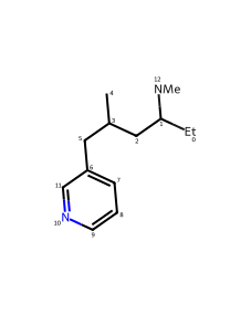 CCC(CC(C)Cc1cccnc1)NC